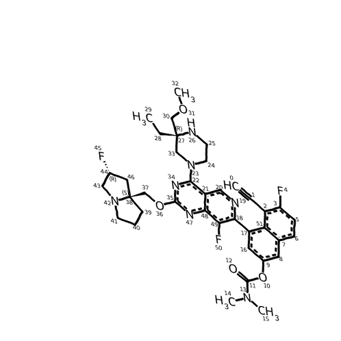 C#Cc1c(F)ccc2cc(OC(=O)N(C)C)cc(-c3ncc4c(N5CCN[C@@](CC)(COC)C5)nc(OC[C@@]56CCCN5C[C@H](F)C6)nc4c3F)c12